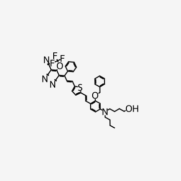 CCCCN(CCCCO)c1ccc(/C=C/c2ccc(/C=C/C(=C(\C#N)C(OC(F)(F)F)=C(C#N)C#N)c3ccccc3)s2)c(OCc2ccccc2)c1